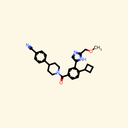 COCc1ncc(-c2cc(C(=O)N3CCC(c4ccc(C#N)cc4)CC3)ccc2C2CCC2)[nH]1